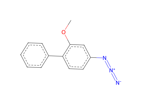 COc1cc(N=[N+]=[N-])ccc1-c1ccccc1